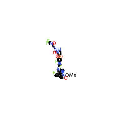 COC(=O)N[C@H]1CCC[C@@H]1C(CN1CCC1)(c1cccc(F)c1)C1CCN(CC2(F)CN(c3ccc(S(=O)(=O)[C@@H]4CCCN(C(=O)NC/C=C/C(=O)N5CC(F)(F)C5)C4)cc3F)C2)CC1